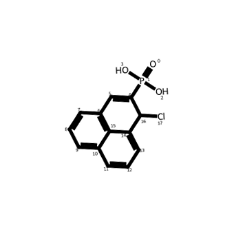 O=P(O)(O)C1=Cc2cccc3cccc(c23)C1Cl